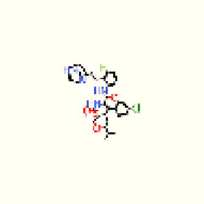 COC(=O)N[C@H](C(=O)Nc1cccc(F)c1CCC1CNC2C#CCN1CCC2)[C@@H](c1ccc(Cl)cc1)C1CCOC(C(C)C)C1